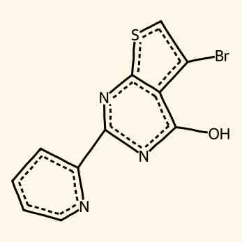 Oc1nc(-c2ccccn2)nc2scc(Br)c12